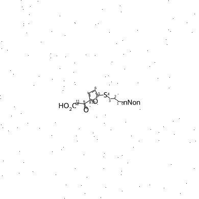 CCCCCCCCCCCCSc1ccc(C(=O)CC(=O)O)o1